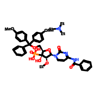 CCN(CC)CC.CCO[C@H]1[C@H](n2ccc(NC(=O)c3ccccc3)nc2=O)O[C@H](COC(c2ccccc2)(c2ccc(OC)cc2)c2ccc(OC)cc2)[C@]1(O)P(=O)(O)O